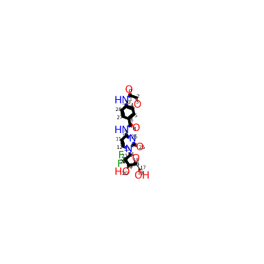 O=C1COc2cc(C(=O)Nc3ccn(C4O[C@H](CO)[C@@H](O)C4(F)F)c(=O)n3)ccc2N1